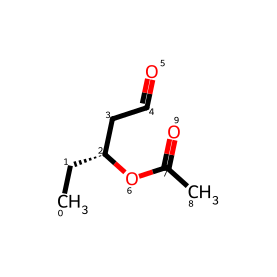 CC[C@H](CC=O)OC(C)=O